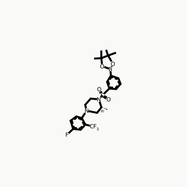 C[C@@H]1CN(c2ccc(F)cc2C(F)(F)F)CCN1S(=O)(=O)c1cccc(B2OC(C)(C)C(C)(C)O2)c1